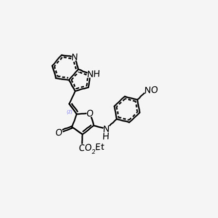 CCOC(=O)C1=C(Nc2ccc(N=O)cc2)O/C(=C\c2c[nH]c3ncccc23)C1=O